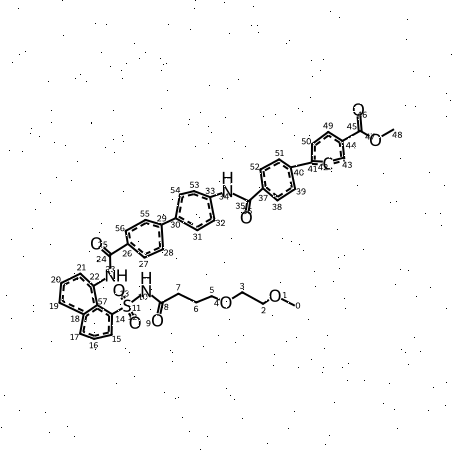 COCCOCCCC(=O)NS(=O)(=O)c1cccc2cccc(NC(=O)c3ccc(-c4ccc(NC(=O)c5ccc(-c6ccc(C(=O)OC)cc6)cc5)cc4)cc3)c12